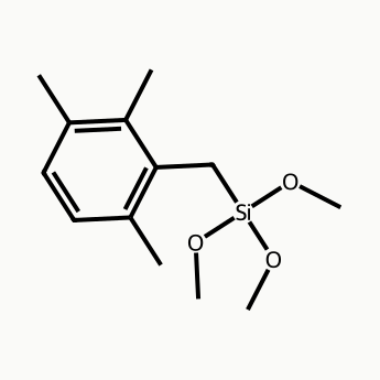 CO[Si](Cc1c(C)ccc(C)c1C)(OC)OC